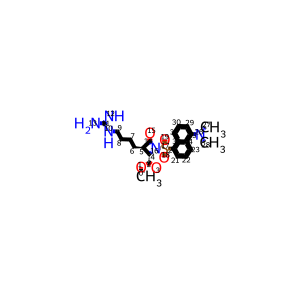 COC(=O)[C@@H]1[C@@H](CCCCNC(=N)N)C(=O)N1S(=O)(=O)c1cccc2c(N(C)C)cccc12